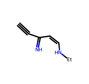 C#CC(=N)/C=C\NCC